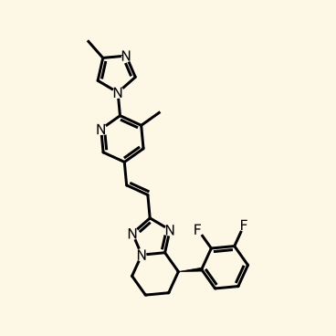 Cc1cn(-c2ncc(/C=C/c3nc4n(n3)CCC[C@@H]4c3cccc(F)c3F)cc2C)cn1